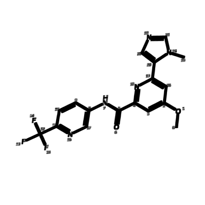 COc1cc(C(=O)Nc2ccc(C(F)(F)F)nc2)nc(-c2cncn2C)c1